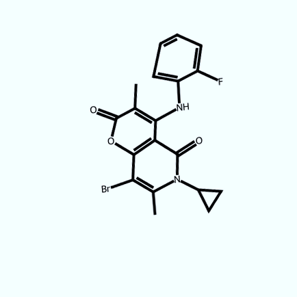 Cc1c(Nc2ccccc2F)c2c(=O)n(C3CC3)c(C)c(Br)c2oc1=O